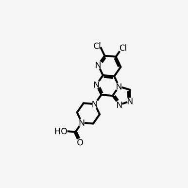 O=C(O)N1CCN(c2nc3nc(Cl)c(Cl)cc3n3cnnc23)CC1